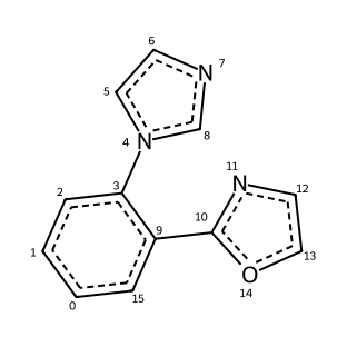 c1ccc(-n2ccnc2)c(-c2ncco2)c1